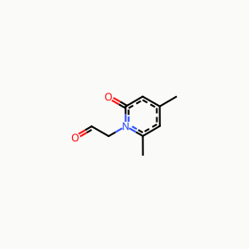 Cc1cc(C)n(CC=O)c(=O)c1